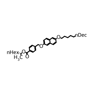 CCCCCCCCCCCCCCCOc1ccc2cc(OCc3ccc(C(=O)O[C@H](C)CCCCCC)cc3)ccc2c1